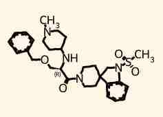 CN1CCC(N[C@H](COCc2ccccc2)C(=O)N2CCC3(CC2)CN(S(C)(=O)=O)c2ccccc23)CC1